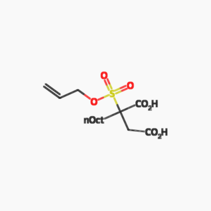 C=CCOS(=O)(=O)C(CCCCCCCC)(CC(=O)O)C(=O)O